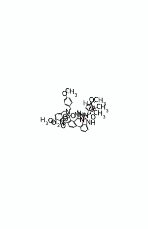 COc1ccc(CN(Cc2ccc(OC)cc2)S(=O)(=O)c2c(S(N)(=O)=O)ccc(-c3cccc4[nH]c(NC(=O)OC(C)(C)C)nc34)c2-c2nnn(Cc3ccc(OC)cc3)n2)cc1